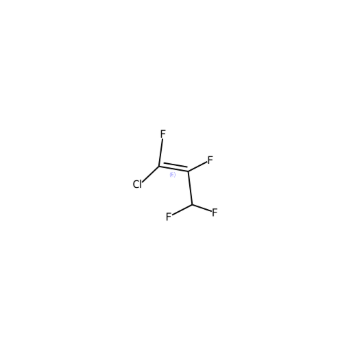 F/C(Cl)=C(\F)C(F)F